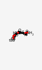 CC(C)(C)OC(=O)N1CCN(CC(=O)Nc2ccn(CCC(F)Cn3cc(C(N)=O)nn3)c(=O)c2)CC1